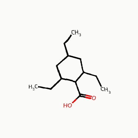 CCC1CC(CC)C(C(=O)O)C(CC)C1